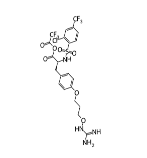 N=C(N)NOCCCOc1ccc(C[C@H](NS(=O)(=O)c2ccc(C(F)(F)F)cc2Cl)C(=O)OC(=O)C(F)(F)F)cc1